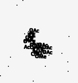 COC(=O)C1(Cl)CC(OC(C)=O)C(NC(=O)Cc2cc(=O)oc3cc(OC(C)=O)ccc23)C([C@H](OC(C)=O)[C@@H](COC(C)=O)OC(C)=O)O1